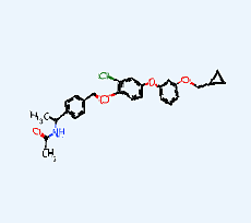 CC(=O)NC(C)c1ccc(COc2ccc(Oc3cccc(OCC4CC4)c3)cc2Cl)cc1